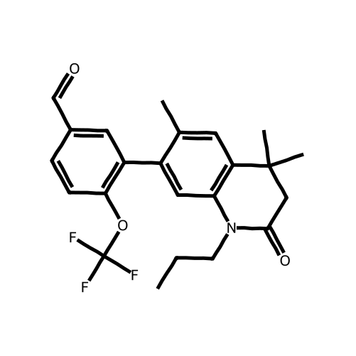 CCCN1C(=O)CC(C)(C)c2cc(C)c(-c3cc(C=O)ccc3OC(F)(F)F)cc21